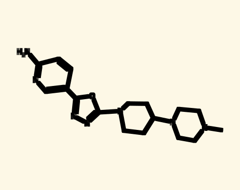 CN1CCN(C2CCN(c3nnc(-c4ccc(N)nc4)o3)CC2)CC1